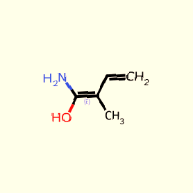 C=C/C(C)=C(\N)O